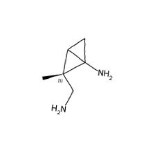 C[C@@]1(CN)C2CC21N